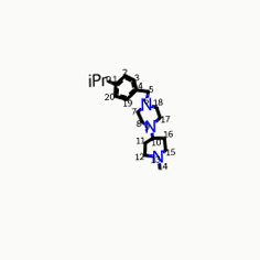 CC(C)c1ccc(CN2CCN(C3CCN(C)CC3)CC2)cc1